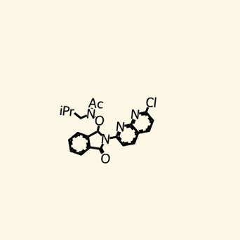 CC(=O)N(CC(C)C)OC1c2ccccc2C(=O)N1c1ccc2ccc(Cl)nc2n1